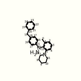 Cc1cccc(N2CCCCC2)c1N(N)c1ccc(Cc2ccccc2)cc1